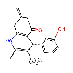 C=C1CC(=O)C2=C(C1)NC(C)=C(C(=O)OCC)C2c1cccc(O)c1